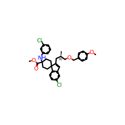 COC(=O)C1(Nc2cccc(Cl)c2)CCC2(CC1)C(C[C@@H](C)COCc1ccc(OC)cc1)=Cc1cc(Cl)ccc12